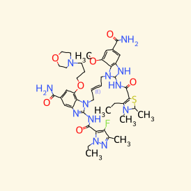 CCC1=C(C(=O)NC2Nc3cc(C(N)=O)cc(OC)c3N2C/C=C/Cn2c(NC(=O)c3c(F)c(C)nn3CC)nc3cc(C(N)=O)cc(OCCCN4CCOCC4)c32)SC(C)N1C